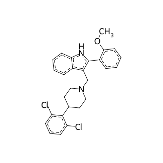 COc1ccccc1-c1[nH]c2ccccc2c1CN1CCC(c2c(Cl)cccc2Cl)CC1